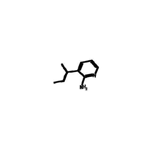 CCC(C)c1cccnc1N